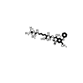 CCc1cc([N+](=O)[O-])c(C(C)COC(=O)NC(CCCCNC(=O)OC(C)(C)C)C(=O)O)cc1Sc1ccccc1